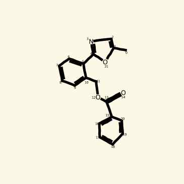 Cc1cnc(-c2ccccc2COC(=O)c2ccccc2)o1